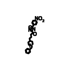 O=C(CCCC1CCN(Cc2ccccc2)CC1)c1noc(-c2ccc([N+](=O)[O-])cc2)n1